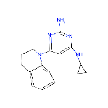 Nc1nc(NC2CC2)cc(N2CCCc3ccccc32)n1